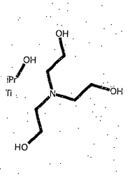 CC(C)O.OCCN(CCO)CCO.[Ti]